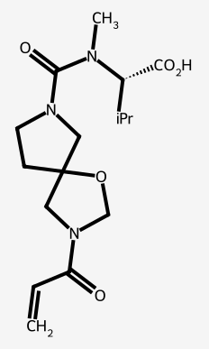 C=CC(=O)N1COC2(CCN(C(=O)N(C)[C@H](C(=O)O)C(C)C)C2)C1